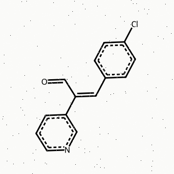 O=[C]C(=Cc1ccc(Cl)cc1)c1cccnc1